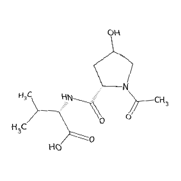 CC(=O)N1CC(O)C[C@H]1C(=O)N[C@H](C(=O)O)C(C)C